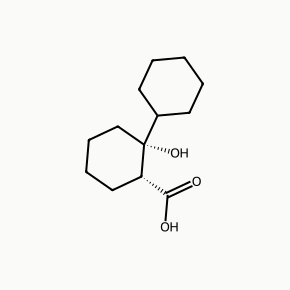 O=C(O)[C@@H]1CCCC[C@@]1(O)C1CCCCC1